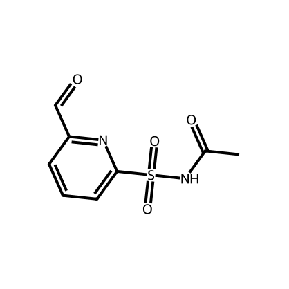 CC(=O)NS(=O)(=O)c1cccc(C=O)n1